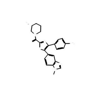 Cn1cnc2cc(-c3sc(C(=O)N4CCC[C@@H](N)C4)nc3-c3ccc(C#N)cc3)ccc21